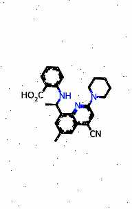 Cc1cc([C@@H](C)Nc2ccccc2C(=O)O)c2nc(N3CCCCC3)cc(C#N)c2c1